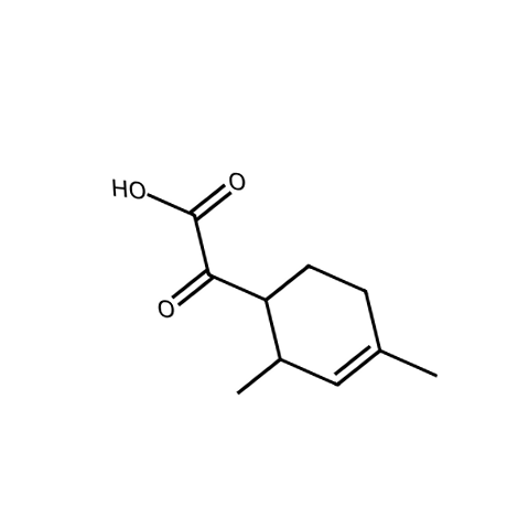 CC1=CC(C)C(C(=O)C(=O)O)CC1